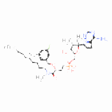 CCCCCCCCCCCCCCCCCCN(C)C(=O)[C@H](CCP(=O)(O)OC[C@H]1O[C@@](C)(c2ccc3c(N)ncnn23)[C@H](C)[C@@H]1O)OCc1cc(F)cc(C#N)c1